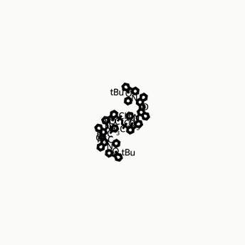 Cc1ccccc1N(c1cc2c3cc(N(c4ccccc4C)c4cccc5c4oc4c(C(C)(C)CCC(C)(C)c6cccc7c6oc6c(N(c8ccccc8)c8cc9c%10cc(N(c%11ccccc%11)c%11cccc%12c%11oc%11c(C(C)(C)C)cccc%11%12)c%11ccccc%11c%10oc9c9ccccc89)cccc67)cccc45)c4ccccc4c3oc2c2ccccc12)c1cccc2c1oc1c(C(C)(C)C)cccc12